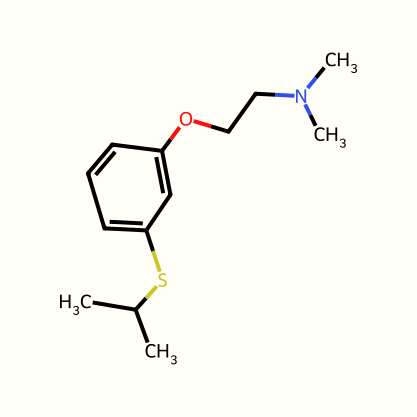 CC(C)Sc1cccc(OCCN(C)C)c1